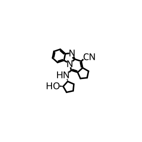 N#Cc1c2c(c(N[C@@H]3CCC[C@H]3O)n3c1nc1ccccc13)CCC2